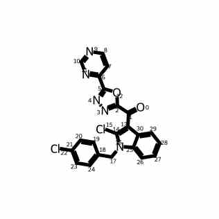 O=C(c1nnc(-c2ccncn2)o1)c1c(Cl)n(Cc2ccc(Cl)cc2)c2ccccc12